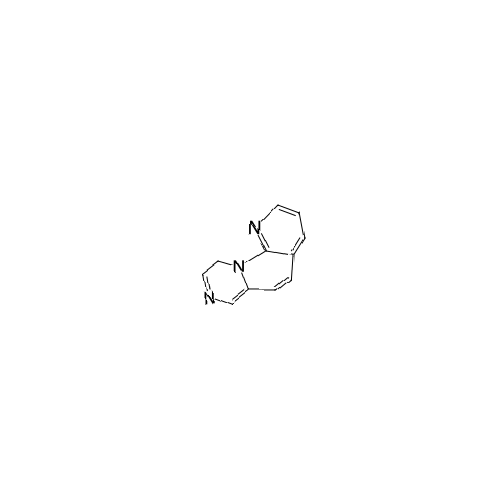 C1=Cc2cccnc2N2CC=NC=C12